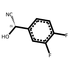 N#C[C@@H](O)c1ccc(F)c(F)c1